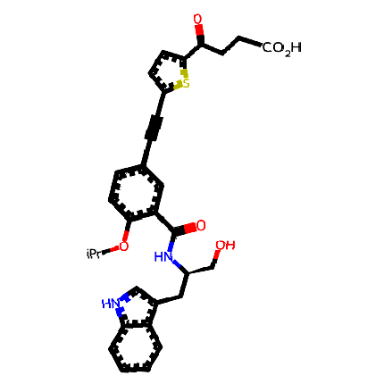 CC(C)Oc1ccc(C#Cc2ccc(C(=O)CCC(=O)O)s2)cc1C(=O)N[C@@H](CO)Cc1c[nH]c2ccccc12